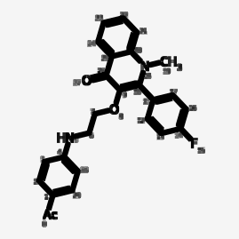 CC(=O)c1ccc(NCCOc2c(-c3ccc(F)cc3)n(C)c3ccccc3c2=O)cc1